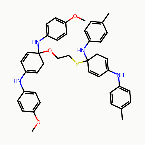 COc1ccc(NC2=CCC(Nc3ccc(OC)cc3)(OCCSC3(Nc4ccc(C)cc4)C=CC(Nc4ccc(C)cc4)=CC3)C=C2)cc1